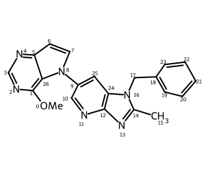 COc1ncnc2ccn(-c3cnc4nc(C)n(Cc5ccccc5)c4c3)c12